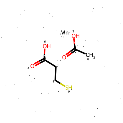 CC(=O)O.O=C(O)CCS.[Mn]